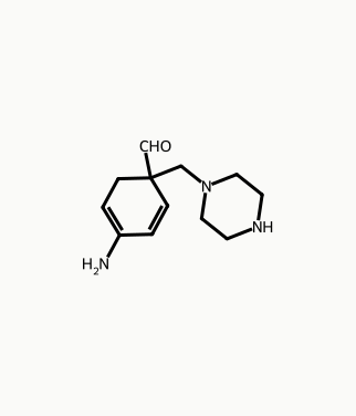 NC1=CCC(C=O)(CN2CCNCC2)C=C1